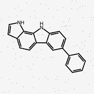 c1ccc(-c2ccc3[nH]c4c(ccc5cc[nH]c54)c3c2)cc1